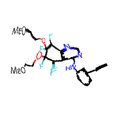 C#Cc1cccc(Nc2ncnc3c2C(F)C(F)(OCCOC)C(F)(OCCOC)C3F)c1